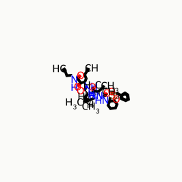 C#CCCNC(=O)C(=O)C(CCC#C)NC(=O)[C@@H]1[C@@H]2[C@H](CN1C(=O)[C@@H](NC(=O)NC1(CS(=O)(=O)Cc3ccccc3)CCCCC1)C(C)(C)C)C2(C)C